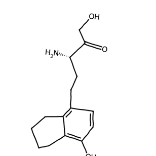 N[C@@H](CCc1ccc(O)c2c1CCCC2)C(=O)CO